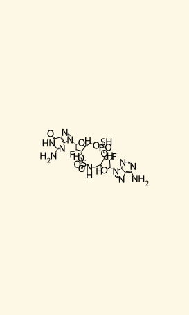 Nc1nc2c(ncn2[C@@H]2O[C@@H]3CO[P@](=O)(S)O[C@H]4[C@@H](F)[C@H](n5cnc6c(N)ncnc65)O[C@@H]4CNS(=O)(=O)O[C@H]3[C@@H]2F)c(=O)[nH]1